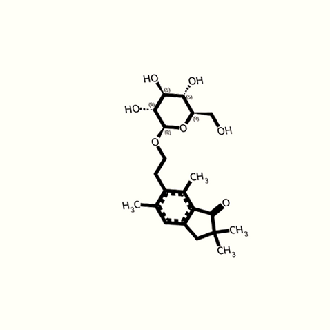 Cc1cc2c(c(C)c1CCO[C@@H]1O[C@H](CO)[C@@H](O)[C@H](O)[C@H]1O)C(=O)C(C)(C)C2